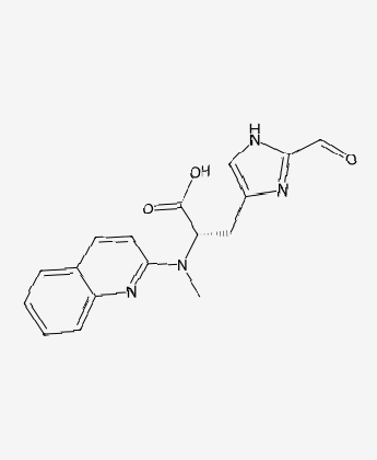 CN(c1ccc2ccccc2n1)[C@@H](Cc1c[nH]c(C=O)n1)C(=O)O